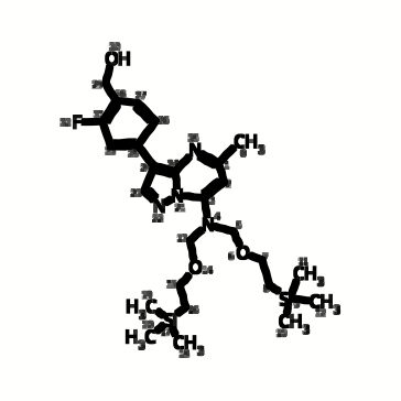 Cc1cc(N(COCC[Si](C)(C)C)COCC[Si](C)(C)C)n2ncc(-c3ccc(CO)c(F)c3)c2n1